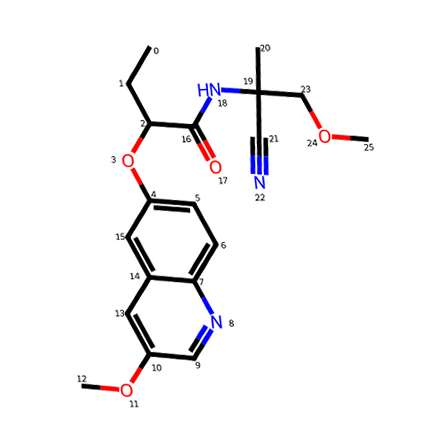 CCC(Oc1ccc2ncc(OC)cc2c1)C(=O)NC(C)(C#N)COC